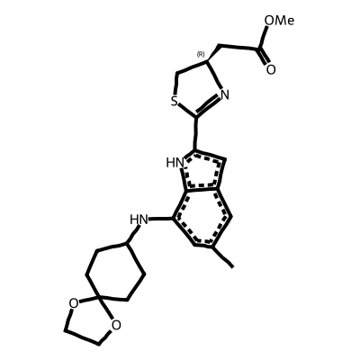 COC(=O)C[C@@H]1CSC(c2cc3cc(C)cc(NC4CCC5(CC4)OCCO5)c3[nH]2)=N1